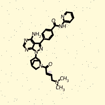 CN(C)C/C=C/C(=O)N1CC2CC1C(n1nc(-c3ccc(C(=O)Nc4ccccn4)cc3)c3c(N)ncnc31)C2